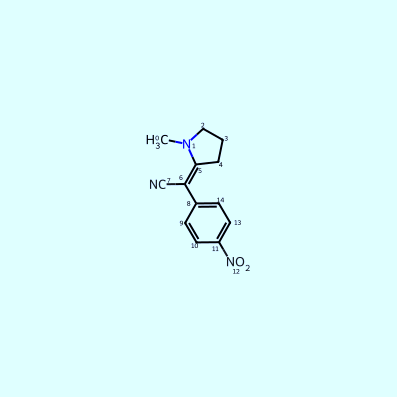 CN1CCC/C1=C(/C#N)c1ccc([N+](=O)[O-])cc1